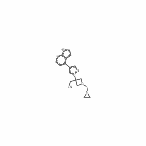 N#CCC1(n2cc(-c3ccnc4[nH]ccc34)cn2)CN(SN2CC2)C1